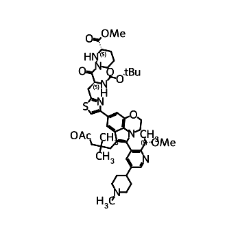 COC(=O)[C@@H]1CCCN(C(=O)[C@H](Cc2nc(-c3cc4c5c(c3)c(CC(C)(C)COC(C)=O)c(-c3cc(C6CCN(C)CC6)cnc3[C@H](C)OC)n5CCO4)cs2)NC(=O)OC(C)(C)C)N1